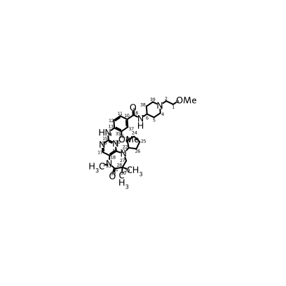 COCCN1CCC(NC(=O)c2ccc(Nc3ncc4c(n3)N(C3CCCC3)CC(C)(C)C(=O)N4C)c(OC)c2)CC1